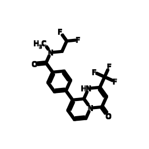 CN(CC(F)F)C(=O)c1ccc(C2=CC=CN3C(=O)C=C(C(F)(F)F)NC23)cc1